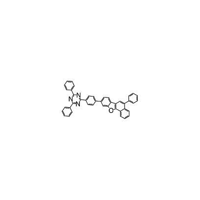 c1ccc(-c2nc(-c3ccccc3)nc(-c3ccc(-c4ccc5c(c4)oc4c6ccccc6c(-c6ccccc6)cc54)cc3)n2)cc1